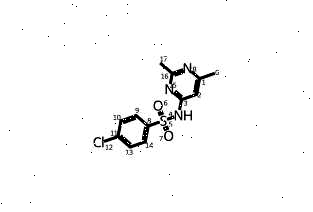 Cc1cc(NS(=O)(=O)c2ccc(Cl)cc2)nc(C)n1